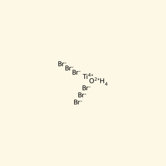 [Br-].[Br-].[Br-].[Br-].[Br-].[Br-].[OH4+2].[Ti+4]